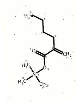 C=C(CCC[SiH3])C(=O)O[Si](C)(C)C